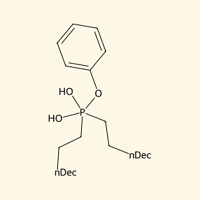 CCCCCCCCCCCCP(O)(O)(CCCCCCCCCCCC)Oc1ccccc1